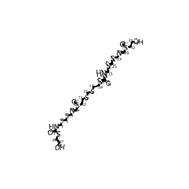 O=C(NCSCSC/N=C/[S+]([O-])CCSCSCCSC(=O)NCSCSC/N=C/[S+]([O-])CCO)SCCO